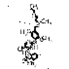 CCCOCCN(C)CCc1cc(OC)c(Nc2ncc(Cl)c(Nc3ccccc3P(C)(C)=O)n2)cc1C